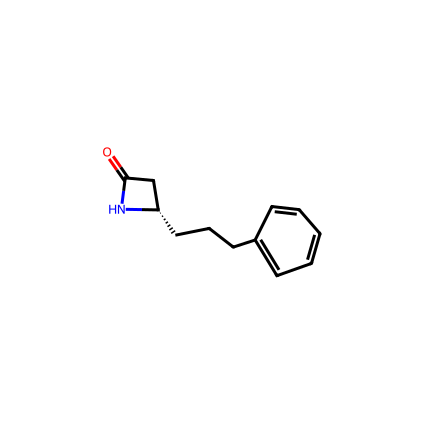 O=C1C[C@H](CCCc2ccccc2)N1